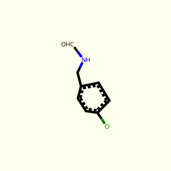 O=CNCc1ccc(Cl)cc1